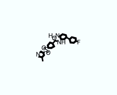 Cc1cncc(S(=O)(=O)c2ccc(C(=O)Nc3cc(-c4ccc(F)cc4)ccc3N)cc2)c1